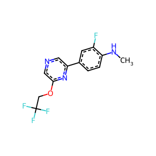 CNc1ccc(-c2cncc(OCC(F)(F)F)n2)cc1F